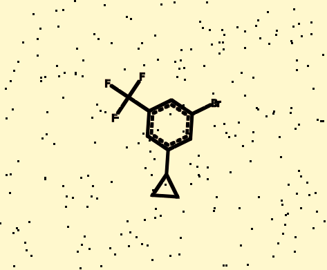 FC(F)(F)c1cc(Br)cc([C]2CC2)c1